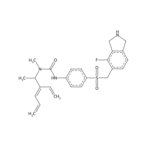 C=C/C=C(\C=C)C(C)N(C)C(=O)Nc1ccc(S(=O)(=O)Cc2ccc3c(c2F)CNC3)cc1